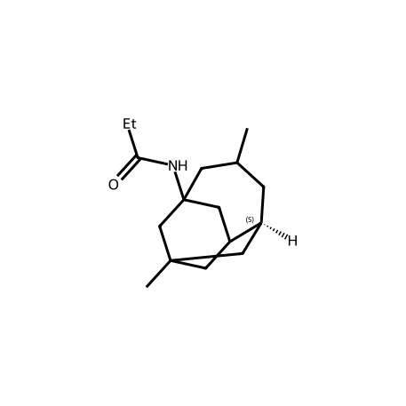 CCC(=O)NC12CC(C)C[C@H]3CC(C)(CC3C1)C2